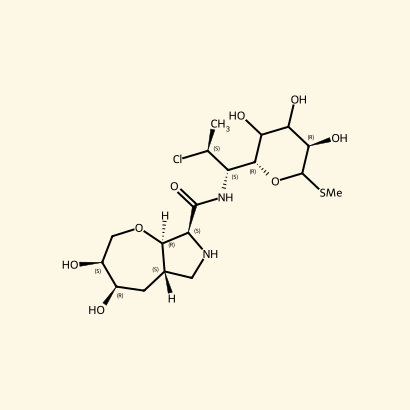 CSC1O[C@H]([C@H](NC(=O)[C@H]2NC[C@@H]3C[C@@H](O)[C@@H](O)CO[C@H]32)[C@H](C)Cl)C(O)C(O)[C@H]1O